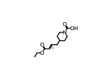 CCOC(=O)/C=C/CC1CCN(C(=O)O)CC1